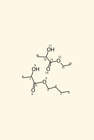 CCCCOC(=O)C(C)O.CCOC(=O)C(C)O